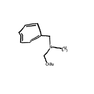 CC(C)COCN(C)Cc1ccccc1